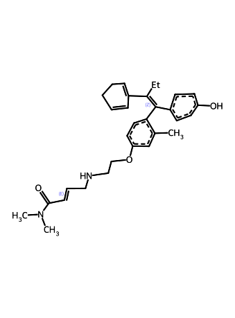 CC/C(C1=CCCC=C1)=C(\c1ccc(O)cc1)c1ccc(OCCNC/C=C/C(=O)N(C)C)cc1C